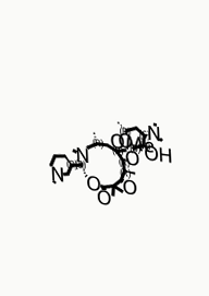 CO[C@]1(C)C[C@@H](C)CN(C)[C@@H]([C@@H]2CCCN(C)C2)COC(=O)C(C)(C)C(=O)[C@H](C)[C@H]1O[C@@H]1O[C@H](C)C[C@H](N(C)C)[C@H]1O